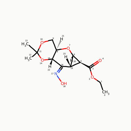 CCOC(=O)[C@@H]1[C@H]2O[C@@H]3COC(C)(C)O[C@H]3C(=NO)[C@H]21